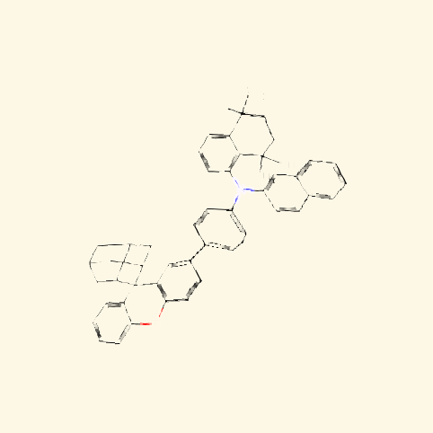 CC1(C)CCC(C)(C)c2c(N(c3ccc(-c4ccc5c(c4)C4(c6ccccc6O5)C5CC6CC7CC4C75C6)cc3)c3ccc4ccccc4c3)cccc21